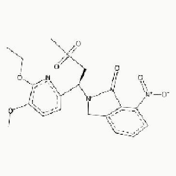 CCOc1nc([C@@H](CS(C)(=O)=O)N2Cc3cccc([N+](=O)[O-])c3C2=O)ccc1OC